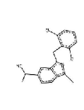 Cc1nn(Cc2c(Cl)cccc2Cl)c2cc(C(C)C#N)ccc12